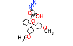 COc1ccc(C(OC[C@H]2O[C@@H](N=[N+]=[N-])C[C@@H]2O)(c2ccccc2)c2ccc(OC)cc2)cc1